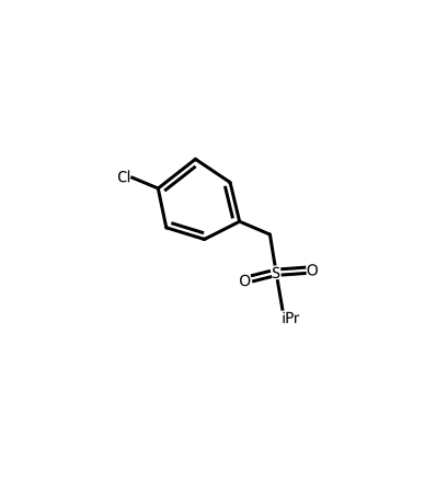 CC(C)S(=O)(=O)Cc1ccc(Cl)cc1